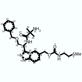 CSCCNC(=O)OCc1ccc2nnc([C@@H](COCc3ccccc3)NC(=O)C(C)(C)N)n2c1